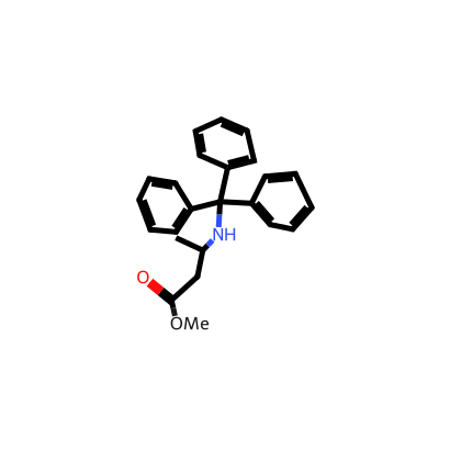 COC(=O)CC(C)NC(c1ccccc1)(c1ccccc1)c1ccccc1